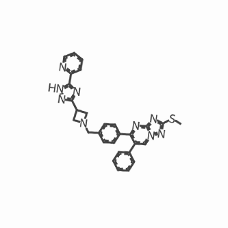 CSc1nc2nc(-c3ccc(CN4CC(c5n[nH]c(-c6ccccn6)n5)C4)cc3)c(-c3ccccc3)cn2n1